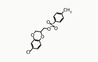 Cc1ccc(S(=O)(=O)OCC2COc3cc(Cl)ccc3O2)cc1